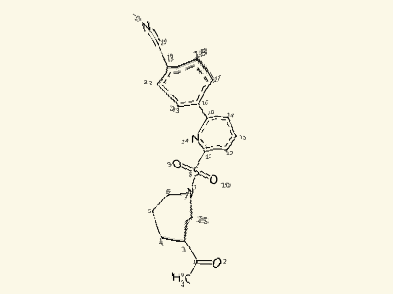 CC(=O)C1CCCN(S(=O)(=O)c2cccc(-c3ccc(C#N)cc3)n2)C1